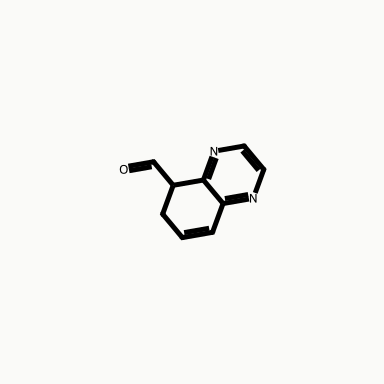 O=CC1CC=Cc2nccnc21